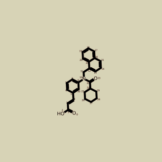 O=C(O)C=Cc1cccc(N(Cc2cccc3ccccc23)C(=O)C2CCCCC2)c1